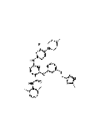 Cc1noc(CCc2cccc(Oc3nc(Nc4ccc(N5CCN(C)CC5)c(F)c4)ncc3C(=O)Nc3c(C)cccc3C)c2)n1